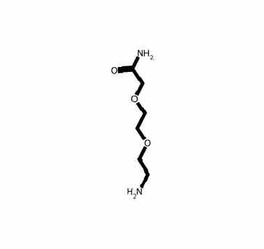 NCCOCCOCC(N)=O